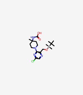 CC1(NC(=O)O)CCN(c2nc(Cl)cnc2CO[Si](C)(C)C(C)(C)C)CC1